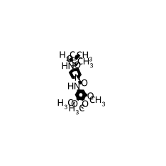 COc1cc(NC(=O)N2CCC(NS(=O)(=O)C(C)(C)C)CC2)cc(OC)c1OC